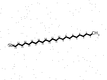 CCCCCCCCCCCCCCCCCCCCCCC[CH2][Sb]